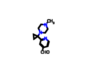 CN1CCN(C2(c3cc(C=O)ccn3)CC2)CC1